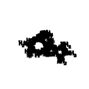 C[C@@H](O)[C@H](NC(=O)[C@@H]1CSSC[C@H](NC(=O)[C@@H](Cc2ccccc2)NC(=O)CN2CCN(CC(N)=O)CCN(CC(N)=O)CCN(CC(N)=O)CC2)C(=O)N[C@@H](Cc2ccc(O)cc2)C(=O)N[C@H](Cc2c[nH]c3ccccc23)C(=O)N[C@@H](CCCCN)C(=O)N[C@@H]([C@@H](C)O)C(=O)N1)C(=O)O